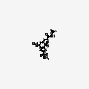 CCN[C@H]1CN(CCC(=O)NC2CC2)S(=O)(=O)c2sc(S(N)(=O)=O)cc21